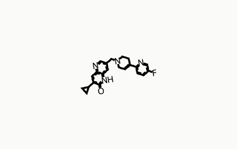 O=c1[nH]c2cc(CN3CC=C(c4ccc(F)cn4)CC3)cnc2cc1C1CC1